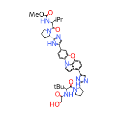 COC(=O)N[C@H](C(=O)N1CCC[C@H]1c1ncc(-c2ccc3c(c2)Oc2ccc(-c4cnc([C@@H]5CCCN5C(=O)[C@@H](NC(=O)CO)C(C)(C)C)[nH]4)c4ccn-3c24)[nH]1)C(C)C